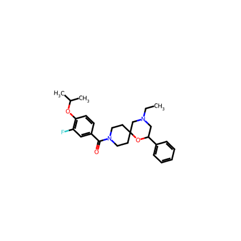 CCN1CC(c2ccccc2)OC2(CCN(C(=O)c3ccc(OC(C)C)c(F)c3)CC2)C1